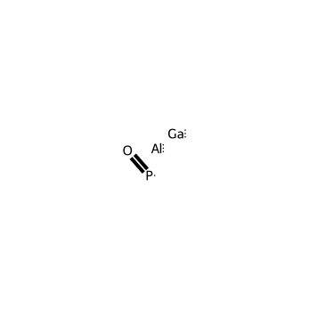 O=[P].[Al].[Ga]